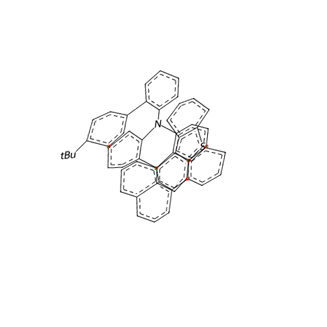 CC(C)(C)c1ccc(-c2ccccc2N(c2ccccc2-c2cccc3cccc(-c4ccccc4)c23)c2ccccc2-c2cccc3sc4ccccc4c23)cc1